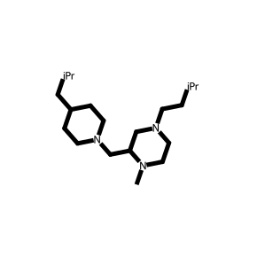 CC(C)CCN1CCN(C)C(CN2CCC(CC(C)C)CC2)C1